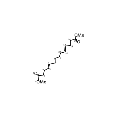 COC(=O)CCC=CCCCCC=CCCC(=O)OC